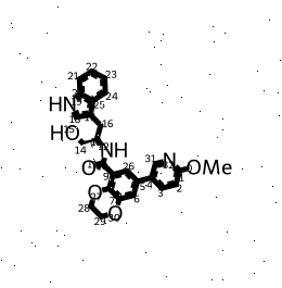 COc1ccc(-c2cc3c(c(C(=O)N[C@@H](CO)Cc4c[nH]c5ccccc45)c2)OCCO3)cn1